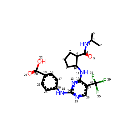 CC(C)NC(=O)C1CCCC1Nc1nc(Nc2ccc(C(=O)O)cc2)ncc1C(F)(F)F